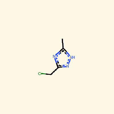 Cc1nc(CCl)n[nH]1